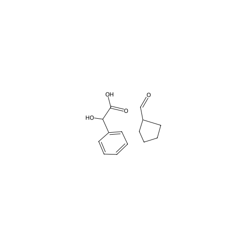 O=C(O)C(O)c1ccccc1.O=CC1CCCC1